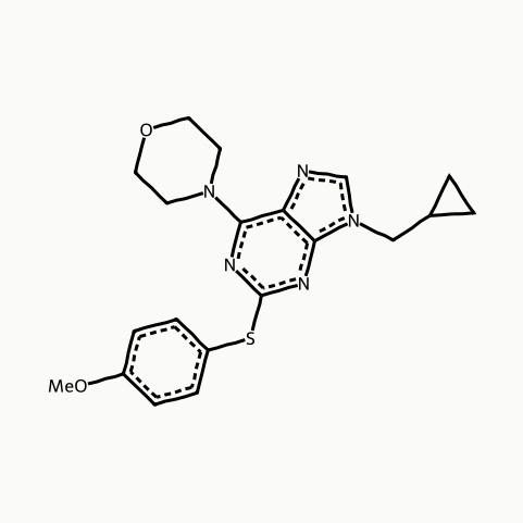 COc1ccc(Sc2nc(N3CCOCC3)c3ncn(CC4CC4)c3n2)cc1